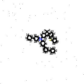 CC1(C)c2ccc(N(c3ccc(-c4ccccc4)cc3)c3ccc(-c4cccc(-c5ccccc5)c4)cc3)cc2-c2c1ccc1c2sc2ccccc21